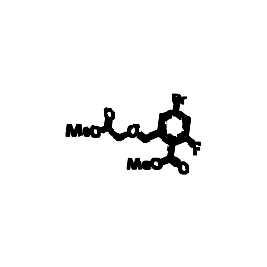 COC(=O)COCc1cc(Br)cc(F)c1C(=O)OC